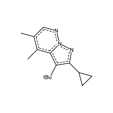 Cc1cnn2nc(C3CC3)c(C(C)(C)C)c2c1C